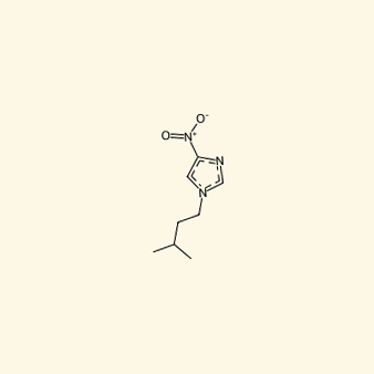 CC(C)CCn1cnc([N+](=O)[O-])c1